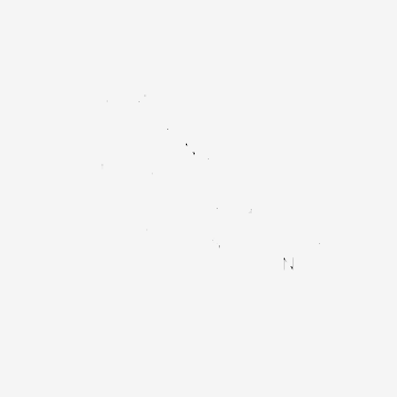 CN(C)CCC1(C)SCCc2c1n(C)c1ccccc21